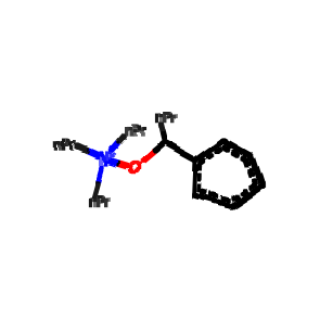 CCCC(O[N+](CCC)(CCC)CCC)c1ccccc1